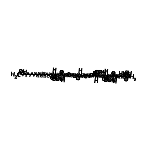 C=C(O)CCCCCCCCCCCCCCCCC(=O)N[C@@H](CCC(=O)NCCOCCOCC(=O)NCCOCCOCC(=O)N[C@@H](CCC(=O)N[C@@H](CCC(=O)NCCCC[C@H](NS)C(N)=O)C(=O)O)C(=O)O)C(=O)O